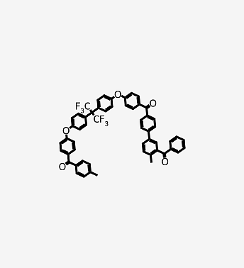 Cc1ccc(C(=O)c2ccc(Oc3ccc(C(c4ccc(Oc5ccc(C(=O)c6ccc(-c7ccc(C)c(C(=O)c8ccccc8)c7)cc6)cc5)cc4)(C(F)(F)F)C(F)(F)F)cc3)cc2)cc1